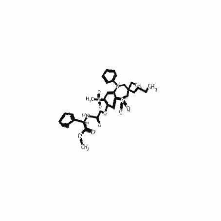 CCCCC1(CC)CN(c2ccccc2)c2cc(S(C)(=O)=O)c(OCC(=O)N[C@@H](C(=O)OC)c3ccccc3)cc2S(=O)(=O)C1